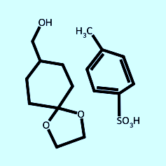 Cc1ccc(S(=O)(=O)O)cc1.OCC1CCC2(CC1)OCCO2